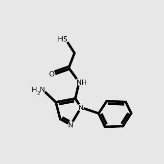 Nc1cnn(-c2ccccc2)c1NC(=O)CS